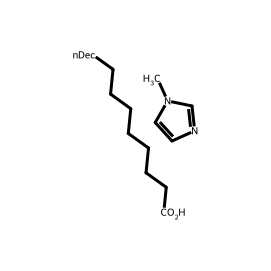 CCCCCCCCCCCCCCCCCC(=O)O.Cn1ccnc1